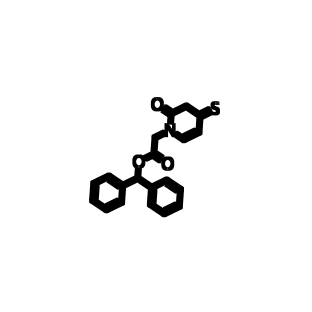 O=C(CN1C=CC(=S)CC1=O)OC(c1ccccc1)c1ccccc1